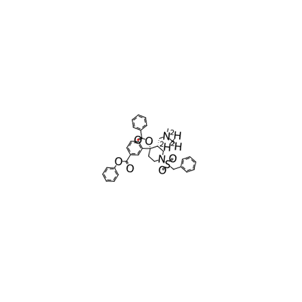 [2H]C([2H])([2H])N(C)C[C@@H]1CN(S(=O)(=O)Cc2ccccc2)CC[C@@]1(OC(=O)c1ccccc1)c1cccc(C(=O)Oc2ccccc2)c1